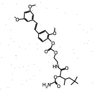 COc1cc(C=Cc2ccc(OC(=O)OCCNC(=O)C(OC(N)=O)C(C)CC(C)(C)C)c(OC)c2)cc(OC)c1